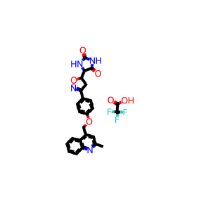 Cc1cc(COc2ccc(C3=NOC(C4NC(=O)NC4=O)C3)cc2)c2ccccc2n1.O=C(O)C(F)(F)F